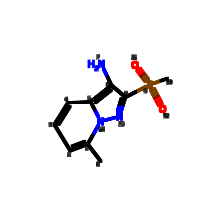 Cc1cccc2c(N)c(S(C)(=O)=O)nn12